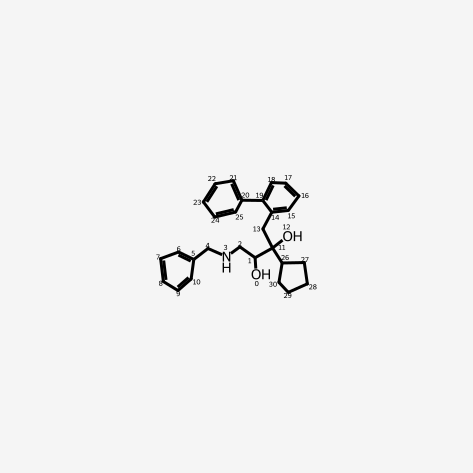 OC(CNCc1ccccc1)C(O)(Cc1ccccc1-c1ccccc1)C1CCCC1